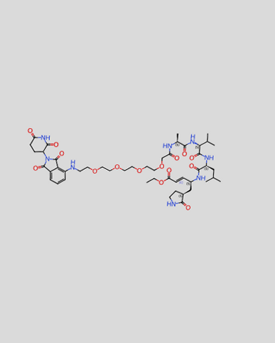 CCOC(=O)/C=C/[C@H](C[C@@H]1CCNC1=O)NC(=O)[C@H](CC(C)C)NC(=O)[C@@H](NC(=O)[C@H](C)NC(=O)COCCOCCOCCOCCNc1cccc2c1C(=O)N(C1CCC(=O)NC1=O)C2=O)C(C)C